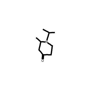 CC(C)N1CCC(=O)CC1C